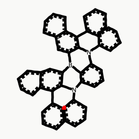 c1ccc(-c2c3c(cc4ccccc24)B2c4cc5ccccc5c(-c5ccccc5)c4N(c4ccccc4)c4cccc(c42)N3c2ccccc2)cc1